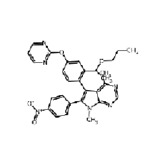 CCCOC(C)c1cc(Oc2ncccn2)ccc1-c1c(-c2ccc([N+](=O)[O-])cc2)n(C)c2ncnc(C)c12